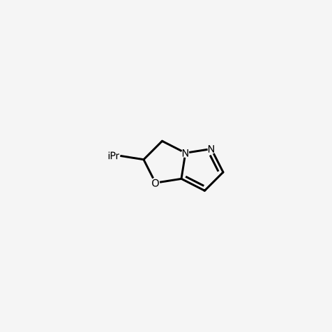 CC(C)C1Cn2nccc2O1